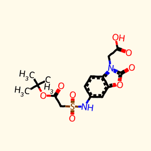 CC(C)(C)OC(=O)CS(=O)(=O)Nc1ccc2c(c1)oc(=O)n2CC(=O)O